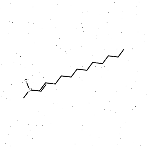 CCCCCCCCCCC=C[S+](C)[O-]